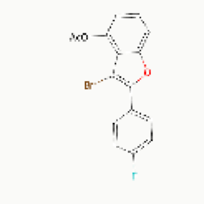 CC(=O)Oc1cccc2oc(-c3ccc(F)cc3)c(Br)c12